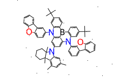 Cc1cc(C)c2c(c1)N(c1cc3c4c(c1)N(c1cccc5c1oc1ccccc15)c1cc(C(C)(C)C)ccc1B4c1ccc(C(C)(C)C)cc1N3c1ccc3oc4ccccc4c3c1)C1(C)CCCCC21C